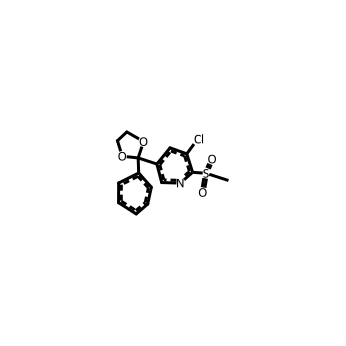 CS(=O)(=O)c1ncc(C2(c3ccccc3)OCCO2)cc1Cl